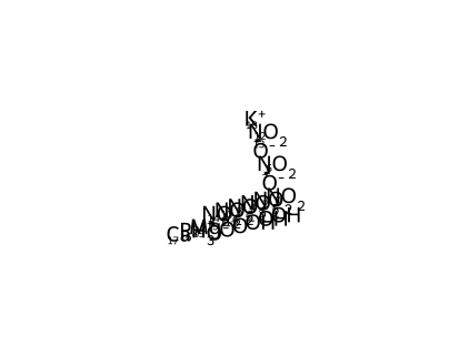 O=[N+]([O-])O.O=[N+]([O-])O.O=[N+]([O-])O.O=[N+]([O-])[O-].O=[N+]([O-])[O-].O=[N+]([O-])[O-].O=[N+]([O-])[O-].O=[N+]([O-])[O-].P.[Ca+2].[K+].[Mg+2]